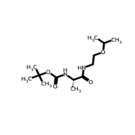 CC(C)OCCNC(=O)[C@H](C)NC(=O)OC(C)(C)C